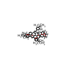 COc1ccccc1/C(=C1/N=C(c2ccc(C(C)(C)C)cc2)C=C1c1ccc(C(C)(C)C)cc1)c1c(-c2ccc(C(C)(C)C)cc2)cc(-c2ccc(C(C)(C)C)cc2)n1B(Oc1ccc(C(F)(F)F)c(F)c1)Oc1ccc(C(F)(F)F)c(F)c1